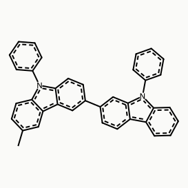 Cc1ccc2c(c1)c1cc(-c3ccc4c5ccccc5n(-c5ccccc5)c4c3)ccc1n2-c1ccccc1